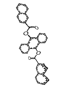 O=C(Oc1c2ccccc2c(OC(=O)c2ccc3ccccc3c2)c2ccccc12)c1ccc2ccccc2c1